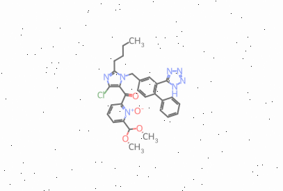 CCCCc1nc(Cl)c(C(=O)c2cccc(C(OC)OC)[n+]2[O-])n1Cc1ccc(-c2ccccc2)c(-c2nnn[nH]2)c1